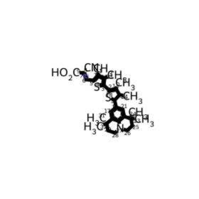 CC1=C(c2sc(/C=C(\C#N)C(=O)O)c(C)c2C)SC(c2cc3c4c(c2)C(C)(C)CCN4CCC3(C)C)C1C